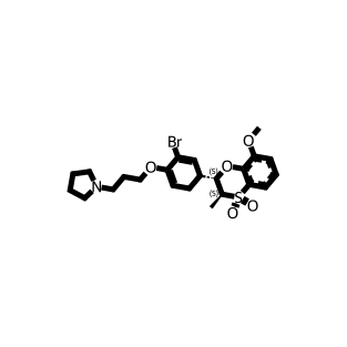 COc1cccc2c1O[C@@H](C1C=C(Br)C(OCCCN3CCCC3)=CC1)[C@H](C)S2(=O)=O